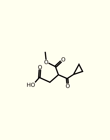 COC(=O)C(CC(=O)O)C(=O)C1CC1